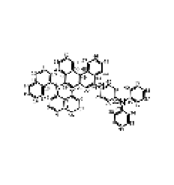 C1=Cc2c(cccc2N(c2cccc3ccccc23)c2cc3cc(-c4ccc(N(c5ccccc5)c5ccccc5)cc4)c4ccccc4c3c3ccccc23)CC1